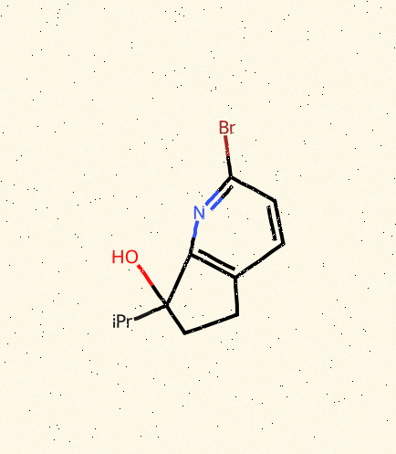 CC(C)C1(O)CCc2ccc(Br)nc21